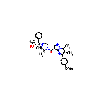 COc1ccc(-c2nc3c(C(=O)N4CCN([C@@H](c5ccccc5)C(C)(C)O)C[C@H]4C)cnn3c(C(F)(F)F)c2C)cc1